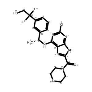 C[C@@H](Nc1nc(Cl)nc2[nH]c(C(=O)N3CCOCC3)nc12)c1cccc(C(F)(F)CO)c1